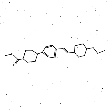 CCCC1CCC(C=Cc2ccc(C3CCC(C(=O)OC)CC3)cc2)CC1